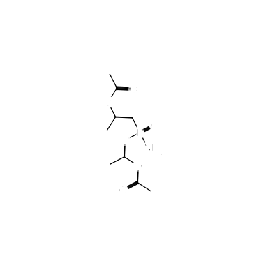 CC(=O)OC(C)CP(N)(=O)OC(C)OC(C)=O